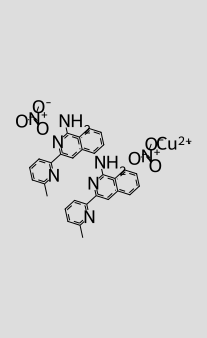 Cc1cccc(-c2cc3ccccc3c(N)n2)n1.Cc1cccc(-c2cc3ccccc3c(N)n2)n1.O=[N+]([O-])[O-].O=[N+]([O-])[O-].[Cu+2]